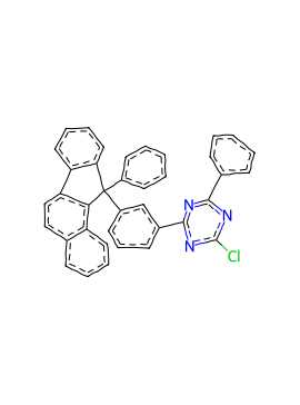 Clc1nc(-c2ccccc2)nc(-c2cccc(C3(c4ccccc4)c4ccccc4-c4ccc5ccccc5c43)c2)n1